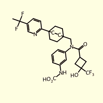 CC(F)(F)c1ccc(C23CCC(CN(C(=O)C4CC(O)(C(F)(F)F)C4)c4cccc(NC(=O)O)c4)(CC2)CC3)nc1